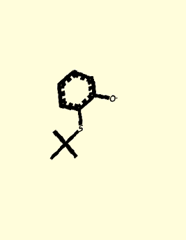 CC(C)(C)Sc1ccccc1[O]